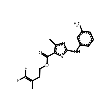 CC(CCOC(=O)c1sc(Nc2cccc(C(F)(F)F)c2)nc1C)=C(F)F